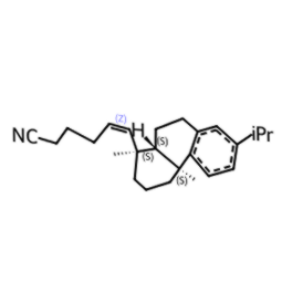 CC(C)c1ccc2c(c1)CC[C@H]1[C@](C)(/C=C\CCCC#N)CCC[C@]21C